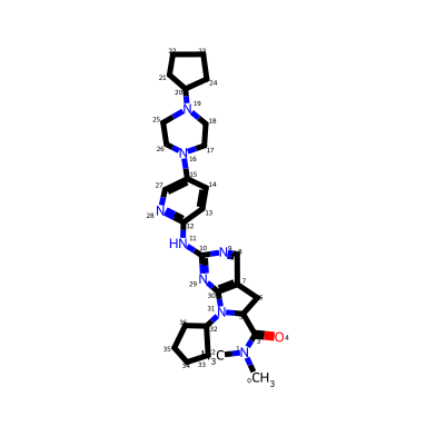 CN(C)C(=O)C1Cc2cnc(Nc3ccc(N4CCN(C5CCCC5)CC4)cn3)nc2N1C1CCCC1